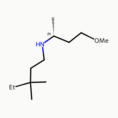 CCC(C)(C)CCN[C@H](C)CCOC